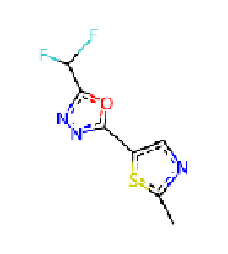 Cc1ncc(-c2nnc(C(F)F)o2)s1